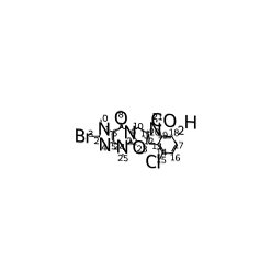 Cn1c(Br)nc2c1c(=O)n(Cc1cc3c(Cl)cccc3n1C(=O)O)c(=O)n2C